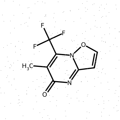 Cc1c(C(F)(F)F)n2occc2nc1=O